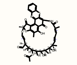 CC(=O)O[C@H]1[C@H](C)[C@H](O)[C@H](C)[C@@H](O)[C@@H](C)/C=C/C=C(/C)C(=O)Nc2c3sc4ccccc4nc-3c3c4c(c(C)c(O)c3c2=O)O[C@](C)(O/C=C/[C@H](C=O)[C@H]1C)C4=O